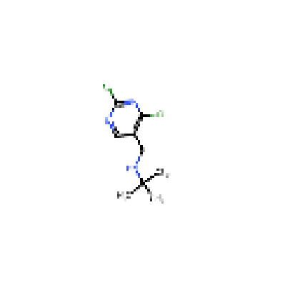 CC(C)(C)NCc1cnc(Cl)nc1Cl